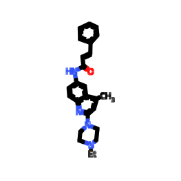 CCN1CCN(c2cc(C)c3cc(NC(=O)C=Cc4ccccc4)ccc3n2)CC1